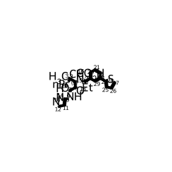 CCCC(C)(C)[C@@H](C(=O)C(=O)Nc1ccn[nH]1)N(C(=O)O)[C@H](CC)c1cccc(-c2cccs2)c1